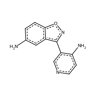 Nc1ccc2onc(-c3cnccc3N)c2c1